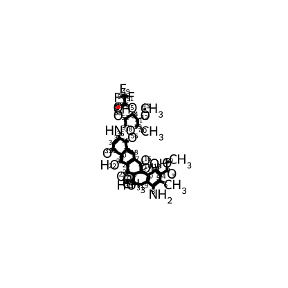 COC(=O)c1c(C)c(N)c2c(c1O)[C@]1(O)C(=O)c3cc4c(c(O)c3C(=O)[C@]1(OC)[C@H](O)C2)C(=O)C=C(N[C@H]1O[C@@H](C)[C@@H](OC)[C@@H](OC(=O)C(F)(F)F)[C@H]1OC)C4=O